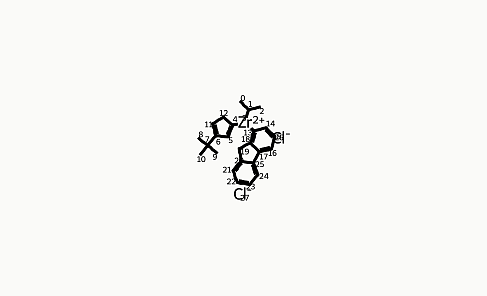 C[CH](C)[Zr+2]([C]1=CC(C(C)(C)C)=CC1)[c]1cccc2c1Cc1ccccc1-2.[Cl-].[Cl-]